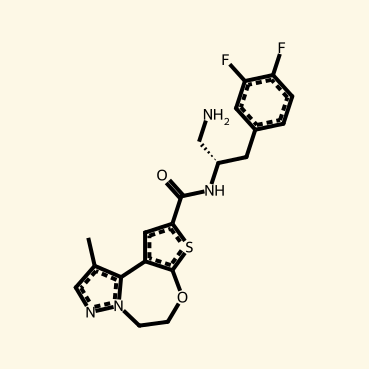 Cc1cnn2c1-c1cc(C(=O)N[C@H](CN)Cc3ccc(F)c(F)c3)sc1OCC2